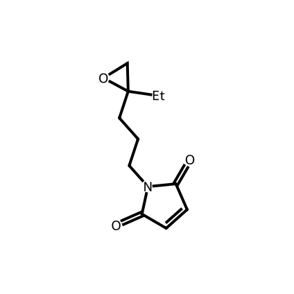 CCC1(CCCN2C(=O)C=CC2=O)CO1